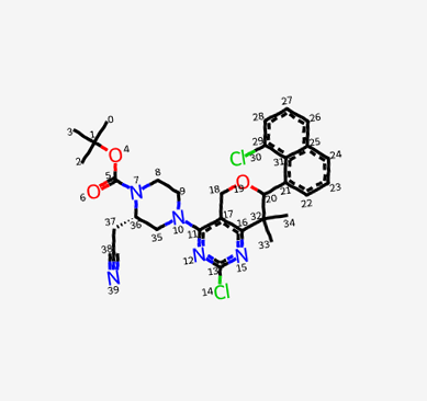 CC(C)(C)OC(=O)N1CCN(c2nc(Cl)nc3c2COC(c2cccc4cccc(Cl)c24)C3(C)C)C[C@@H]1CC#N